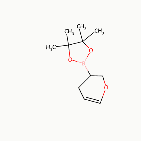 CC1(C)OB(C2CC=COC2)OC1(C)C